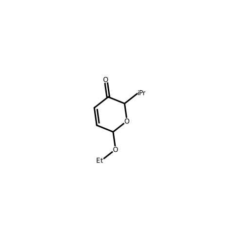 CCOC1C=CC(=O)C(C(C)C)O1